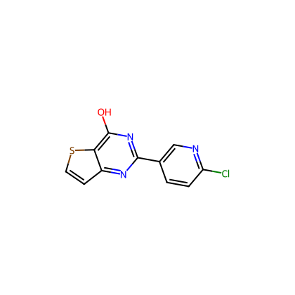 Oc1nc(-c2ccc(Cl)nc2)nc2ccsc12